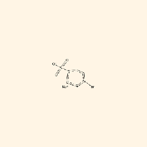 O=S(=O)([O-])c1ccc(Br)cc1.[Na+]